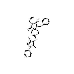 Cc1nn(-c2ccccc2)c(C)c1CN1CCC2(CC1)C(=O)N(CC(C)C)C(=O)N2Cc1ccccc1